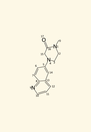 CN1CCN(c2ccc3ncccc3c2)CC1=O